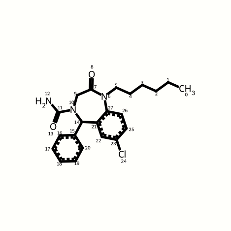 CCCCCCN1C(=O)CN(C(N)=O)C(c2ccccc2)c2cc(Cl)ccc21